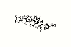 CCC[C@@]1(O)CC[C@@]2(C)[C@@H](CC[C@H]3[C@@H]4[C@@H]5C[C@@H]5[C@H]([C@@](C)(O)Cn5cc(C#N)cn5)[C@@]4(C)CC[C@@H]32)C1